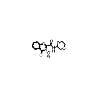 CCOn1c(C(=O)NC2COCCO2)nc2ccccc2c1=O